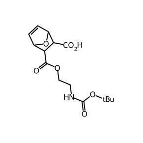 CC(C)(C)OC(=O)NCCOC(=O)C1C2C=CC(O2)C1C(=O)O